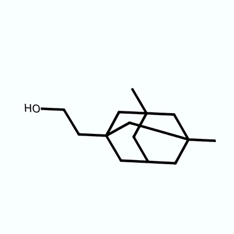 CC12CC3CC(C)(C1)CC(CCO)(C3)C2